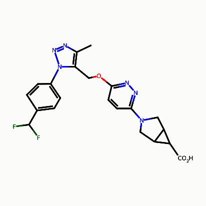 Cc1nnn(-c2ccc(C(F)F)cc2)c1COc1ccc(N2CC3C(C2)C3C(=O)O)nn1